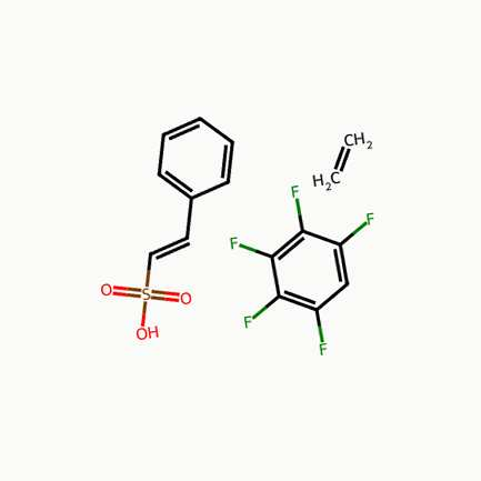 C=C.Fc1cc(F)c(F)c(F)c1F.O=S(=O)(O)C=Cc1ccccc1